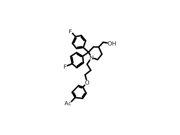 CC(=O)c1ccc(OCCCN2CCC(CO)CC2(c2ccc(F)cc2)c2ccc(F)cc2)cc1